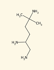 CC(C)(N)CCC(N)CN